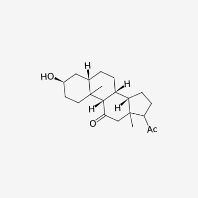 CC(=O)C1CC[C@H]2[C@H]3CC[C@H]4C[C@H](O)CCC4(C)[C@H]3C(=O)CC12C